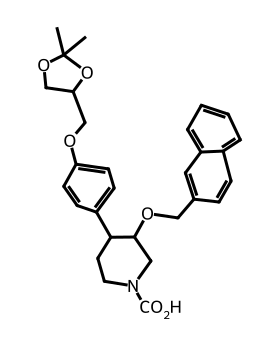 CC1(C)OCC(COc2ccc(C3CCN(C(=O)O)CC3OCc3ccc4ccccc4c3)cc2)O1